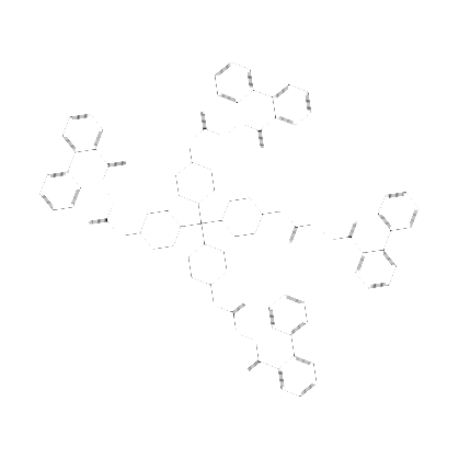 O=C(OOC(=O)c1ccccc1-c1ccccc1)OC1CCC(C(C2CCC(OC(=O)OOC(=O)c3ccccc3-c3ccccc3)CC2)(C2CCC(OC(=O)OOC(=O)c3ccccc3-c3ccccc3)CC2)C2CCC(OC(=O)OOC(=O)c3ccccc3-c3ccccc3)CC2)CC1